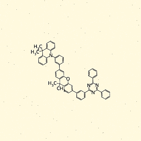 CC1(C)c2ccc(-c3cccc(-c4nc(-c5ccccc5)nc(-c5ccccc5)n4)c3)cc2Oc2cc(-c3cccc(N4c5ccccc5C(C)(C)c5ccccc54)c3)ccc21